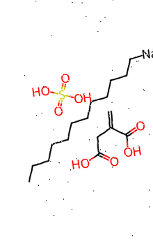 C=C(CC(=O)O)C(=O)O.CCCCCCCCCCC[CH2][Na].O=S(=O)(O)O